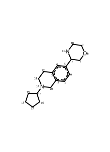 c1cc2c(cc1C1COCC[N]1)CCN(C1CCCC1)C2